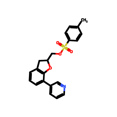 Cc1ccc(S(=O)(=O)OCC2Cc3cccc(-c4cccnc4)c3O2)cc1